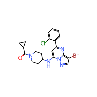 O=C(C1CC1)N1CCC(Nc2cc(-c3ccccc3Cl)nc3c(Br)cnn23)CC1